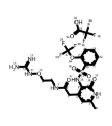 Cc1cc(CC(=O)NCCONC(=N)N)c(NS(=O)(=O)c2ccccc2OC(F)(F)F)c(=O)[nH]1.O=C(O)C(F)(F)F